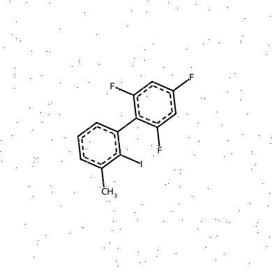 Cc1cccc(-c2c(F)cc(F)cc2F)c1I